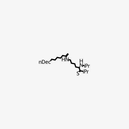 C=C(CCCCCCCCCCCCCCC)NCCCCC(NC(C)C)C(=S)C(C)C